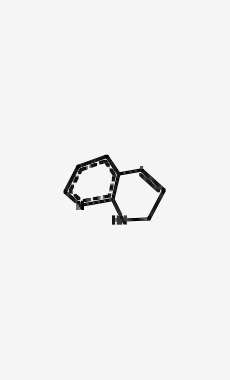 [C]1=CCNc2ncccc21